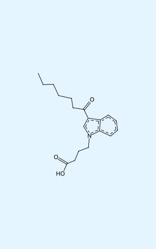 CCCCCCC(=O)c1cn(CCCC(=O)O)c2ccccc12